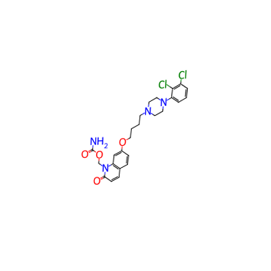 NC(=O)OCn1c(=O)ccc2ccc(OCCCCN3CCN(c4cccc(Cl)c4Cl)CC3)cc21